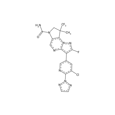 CC1(C(F)(F)F)CN(C(N)=O)c2cnc3c(-c4cnc(-n5nccn5)c(Cl)c4)c(F)nn3c21